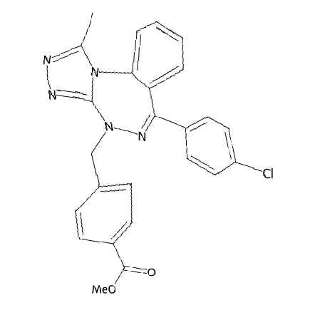 COC(=O)c1ccc(CN2N=C(c3ccc(Cl)cc3)c3ccccc3-n3c(C)nnc32)cc1